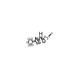 C#CCCC(=O)Nc1nc(-c2ccccc2)cs1